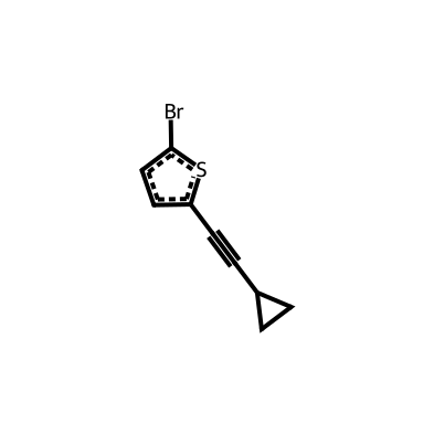 Brc1ccc(C#CC2CC2)s1